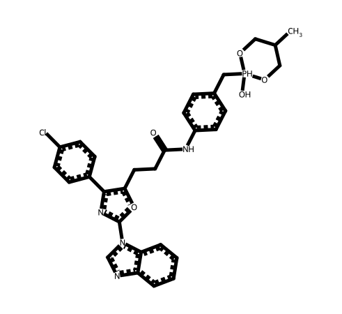 CC1CO[PH](O)(Cc2ccc(NC(=O)CCc3oc(-n4cnc5ccccc54)nc3-c3ccc(Cl)cc3)cc2)OC1